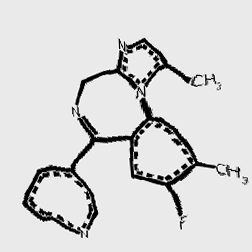 Cc1cc2c(cc1F)C(c1cccnc1)=NCc1ncc(C)n1-2